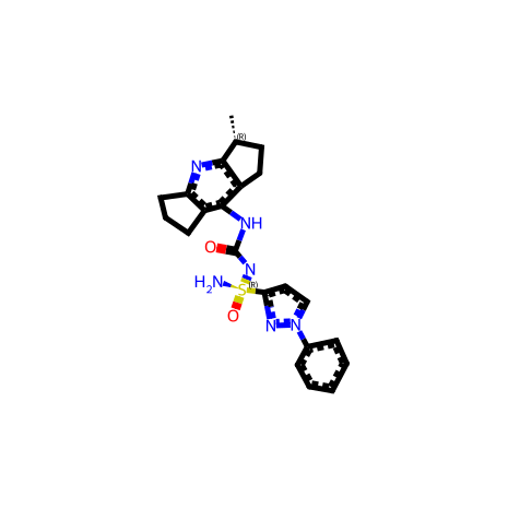 C[C@@H]1CCc2c1nc1c(c2NC(=O)N=[S@@](N)(=O)c2ccn(-c3ccccc3)n2)CCC1